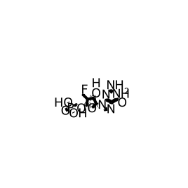 Nc1nc2c(ncn2[C@@H]2O[C@H](OCP(=O)(O)O)C(CF)[C@@H]2O)c(=O)[nH]1